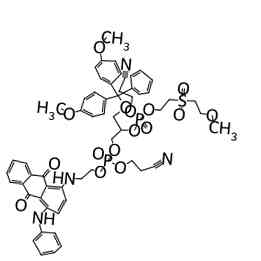 COCCS(=O)(=O)CCOP(=O)(OCCC#N)OC(COC(c1ccccc1)(c1ccc(OC)cc1)c1ccc(OC)cc1)COP(=O)(OCCC#N)OCCNc1ccc(Nc2ccccc2)c2c1C(=O)c1ccccc1C2=O